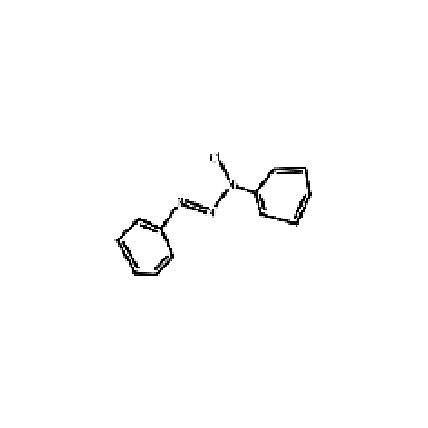 ClN(N=Nc1ccccc1)c1ccccc1